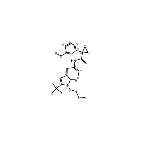 C=C(NC(/C=C1/C=C(C(C)(C)C)N(CCCC)C1C)=C/C)C1(c2cccc(CC)c2)CC1